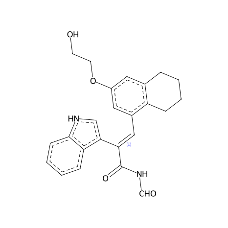 O=CNC(=O)/C(=C/c1cc(OCCO)cc2c1CCCC2)c1c[nH]c2ccccc12